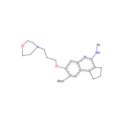 COc1cc2c3c(c(NC(C)C)nc2cc1OCCCN1CCOCC1)CCC3